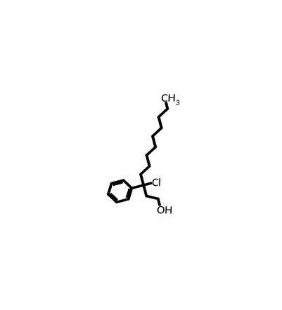 CCCCCCCCCC(Cl)(CCO)c1ccccc1